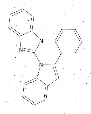 c1ccc2c(c1)cc1c3ccccc3n3c4ccccc4nc3n21